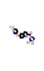 CC[C@@H]1CN(C(=O)c2ccc3cc(Oc4ccc(C(F)(F)F)nc4)ccc3n2)CCN1